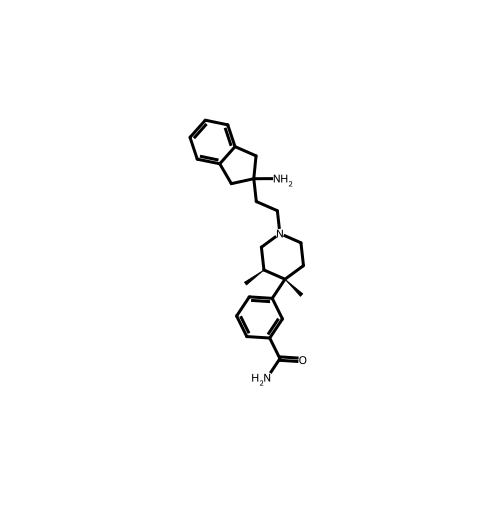 C[C@H]1CN(CCC2(N)Cc3ccccc3C2)CC[C@]1(C)c1cccc(C(N)=O)c1